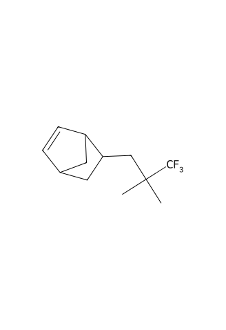 CC(C)(CC1CC2C=CC1C2)C(F)(F)F